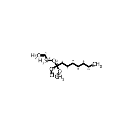 C=C[SiH2]OC(CCCCCCC)(OC)OC